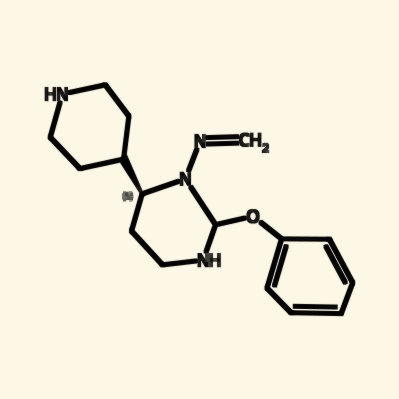 C=NN1C(Oc2ccccc2)NCC[C@H]1C1CCNCC1